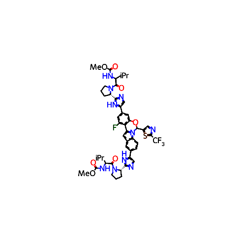 COC(=O)NC(C(=O)N1CCC[C@H]1c1ncc(-c2cc(F)c3c(c2)OC(c2cnc(C(F)(F)F)s2)n2c-3cc3cc(-c4cnc([C@@H]5CCCN5C(=O)C(NC(=O)OC)C(C)C)[nH]4)ccc32)[nH]1)C(C)C